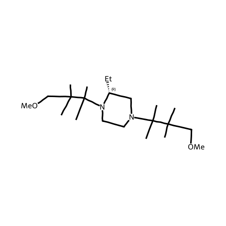 CC[C@@H]1CN(C(C)(C)C(C)(C)COC)CCN1C(C)(C)C(C)(C)COC